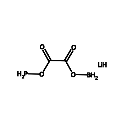 BOC(=O)C(=O)OP.[LiH]